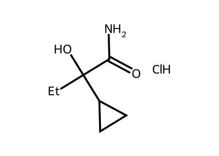 CCC(O)(C(N)=O)C1CC1.Cl